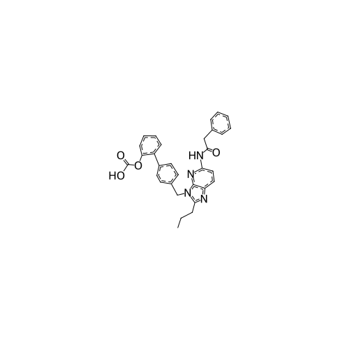 CCCc1nc2ccc(NC(=O)Cc3ccccc3)nc2n1Cc1ccc(-c2ccccc2OC(=O)O)cc1